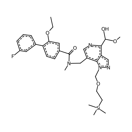 CCOc1cc(C(=O)N(C)Cc2cnc(C(O)OC)c3cnn(COCC[Si](C)(C)C)c23)ccc1-c1cccc(F)c1